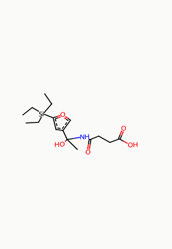 CC[Si](CC)(CC)c1cc(C(C)(O)NC(=O)CCC(=O)O)co1